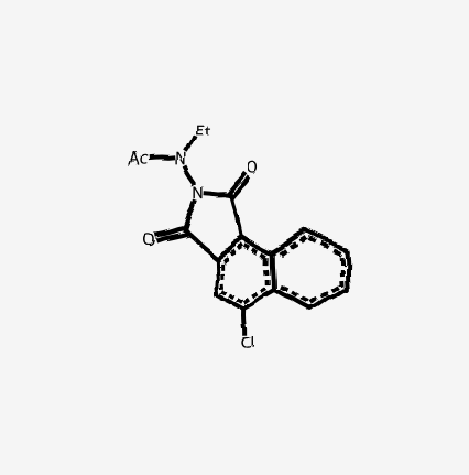 CCN(C(C)=O)N1C(=O)c2cc(Cl)c3ccccc3c2C1=O